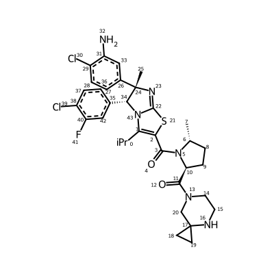 CC(C)C1=C(C(=O)N2[C@H](C)CC[C@H]2C(=O)N2CCNC3(CC3)C2)SC2=N[C@@](C)(c3ccc(Cl)c(N)c3)[C@@H](c3ccc(Cl)c(F)c3)N21